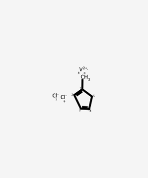 CC1=CC=CC1.[Cl-].[Cl-].[V+2]